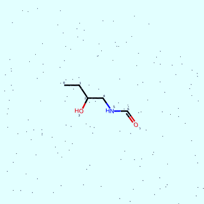 CCC(O)CNC=O